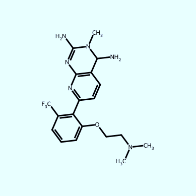 CN(C)CCOc1cccc(C(F)(F)F)c1-c1ccc2c(n1)N=C(N)N(C)C2N